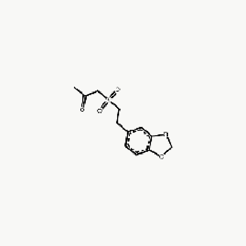 CC(=O)CS(=O)(=O)CCc1ccc2c(c1)OCO2